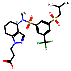 CC(C)CS(=O)(=O)c1cc(C(F)(F)F)cc(S(=O)(=O)N(C)[C@@H]2CCCc3c2cnn3CCC(=O)O)c1